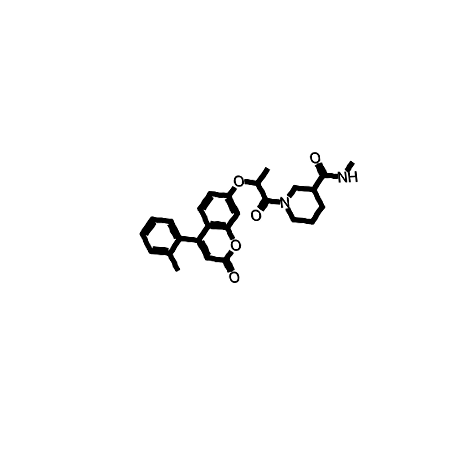 CNC(=O)C1CCCN(C(=O)C(C)Oc2ccc3c(-c4ccccc4C)cc(=O)oc3c2)C1